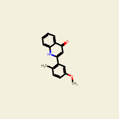 COc1ccc(C)c(-c2cc(=O)c3ccccc3[nH]2)c1